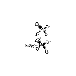 [Ba+2].[O]=[Mn](=[O])([O-])[O-].[O]=[Mn](=[O])([O-])[O-].[Sr+2]